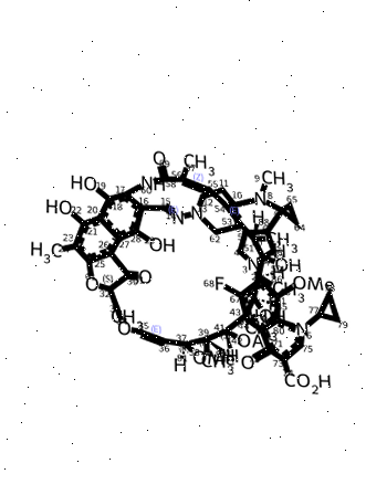 COc1c(N2CCC(C3(N(C)C4CCN(/N=C/c5c6c(O)c7c(O)c(C)c8c(c7c5O)C(=O)[C@@](C)(O/C=C/[C@H](OC)[C@@H](C)[C@@H](OC(C)=O)[C@H](C)[C@H](O)[C@H](C)[C@@H](O)[C@@H](C)/C=C/C=C(/C)C(=O)N6)O8)CC4)CC3)C2)c(F)cc2c(=O)c(C(=O)O)cn(C3CC3)c12